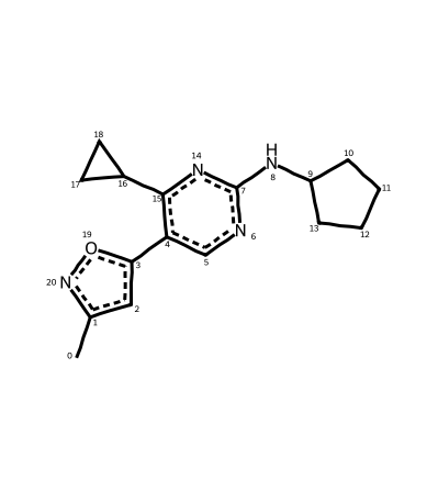 Cc1cc(-c2cnc(NC3CCCC3)nc2C2CC2)on1